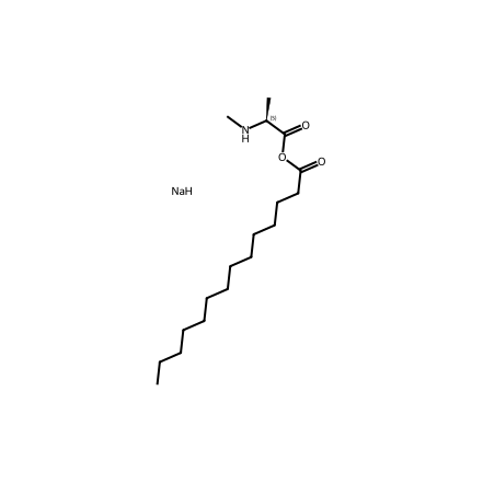 CCCCCCCCCCCCCC(=O)OC(=O)[C@H](C)NC.[NaH]